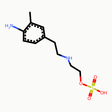 Cc1cc(CCNCCOS(=O)(=O)O)ccc1N